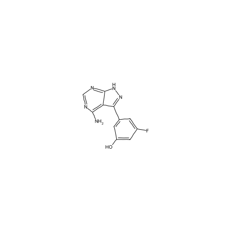 Nc1ncnc2[nH]nc(-c3cc(O)cc(F)c3)c12